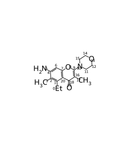 CCc1c(C)c(N)cc2oc(N3CCOCC3)c(C)c(=O)c12